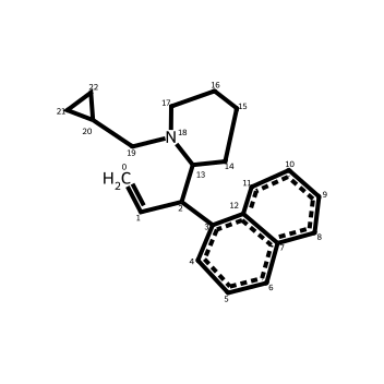 C=CC(c1cccc2ccccc12)C1CCCCN1CC1CC1